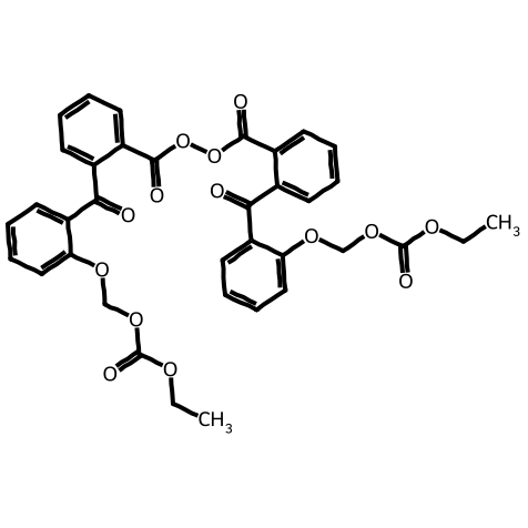 CCOC(=O)OCOc1ccccc1C(=O)c1ccccc1C(=O)OOC(=O)c1ccccc1C(=O)c1ccccc1OCOC(=O)OCC